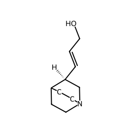 OCC=C[C@H]1CN2CCC1CC2